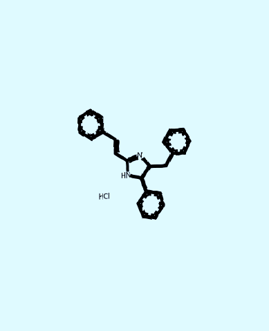 C(=Cc1ccccc1)C1=NC(Cc2ccccc2)C(c2ccccc2)N1.Cl